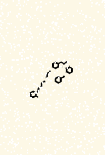 Cc1ccccc1C=CCCC(=O)NCCCOc1ccc(CC(Nc2ccccc2OC(=O)c2ccccc2)C(=O)O)cc1